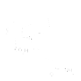 NC(=O)CCCCn1c2c(c3cccc(C(=O)O)c31)CCCCC2